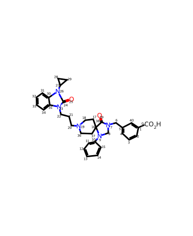 O=C(O)c1cccc(CN2CN(c3ccccc3)C3(CCN(CCCn4c(=O)n(C5CC5)c5ccccc54)CC3)C2=O)c1